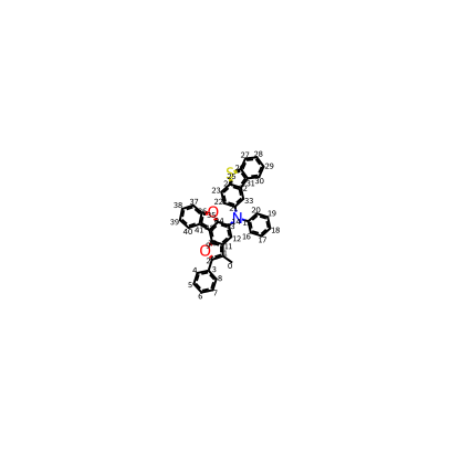 Cc1c(-c2ccccc2)oc2c1cc(N(c1ccccc1)c1ccc3sc4ccccc4c3c1)c1oc3ccccc3c12